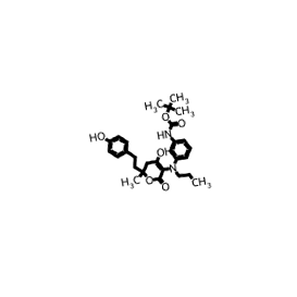 CCCN(C1=C(O)CC(C)(CCc2ccc(O)cc2)OC1=O)c1cccc(NC(=O)OC(C)(C)C)c1